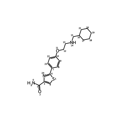 NC(=O)c1csc(-c2ccc(OCCNCC3CCCCC3)cc2)n1